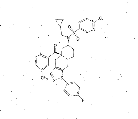 O=C(c1cc(C(F)(F)F)ccn1)[C@]12Cc3cnn(-c4ccc(F)cc4)c3C=C1CC[C@H](N(CC1CC1)S(=O)(=O)c1ccc(Cl)nc1)C2